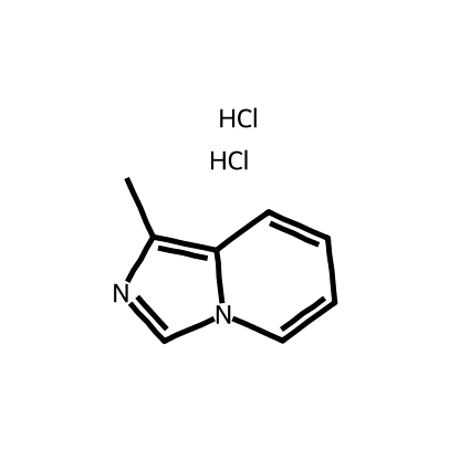 Cc1ncn2ccccc12.Cl.Cl